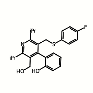 CC(C)c1nc(C(C)C)c(CSc2ccc(F)cc2)c(-c2ccccc2O)c1CO